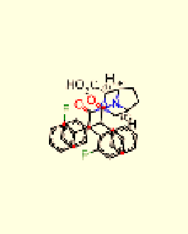 O=C(O)[C@@H]1[C@H]2CC[C@@H](CN1C(=O)C(c1ccccc1F)c1ccccc1F)N2C(=O)C(c1ccccc1)c1ccccc1